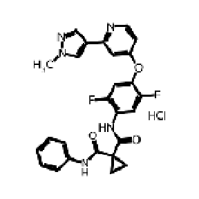 Cl.Cn1cc(-c2cc(Oc3cc(F)c(NC(=O)C4(C(=O)Nc5ccccc5)CC4)cc3F)ccn2)cn1